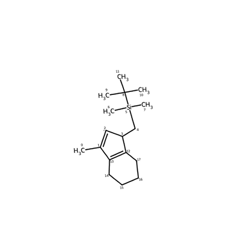 CC1=[C]C(C[Si](C)(C)C(C)(C)C)C2=C1CCCC2